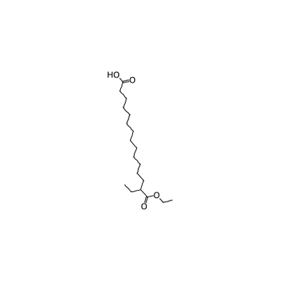 CCOC(=O)C(CC)CCCCCCCCCCCCC(=O)O